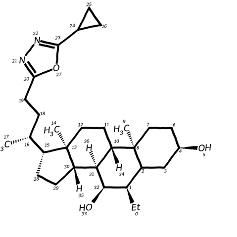 CC[C@@H]1C2C[C@H](O)CC[C@]2(C)[C@H]2CC[C@]3(C)[C@@H]([C@H](C)CCc4nnc(C5CC5)o4)CC[C@H]3[C@@H]2[C@@H]1O